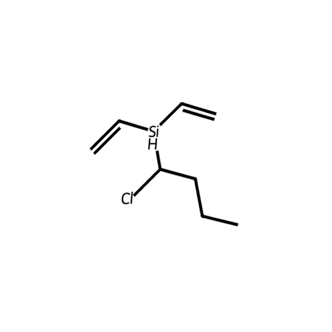 C=C[SiH](C=C)C(Cl)CCC